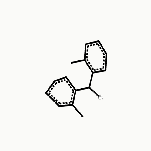 CC[C](c1ccccc1C)c1ccccc1C